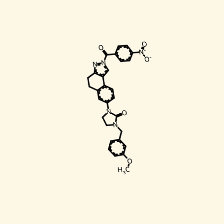 COc1cccc(CN2CCN(c3ccc4c(c3)CCc3nn(C(=O)c5ccc([N+](=O)[O-])cc5)cc3-4)C2=O)c1